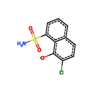 NS(=O)(=O)c1cccc2ccc(Cl)c([O])c12